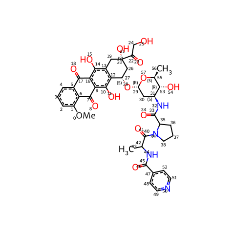 COc1cccc2c1C(=O)c1c(O)c3c(c(O)c1C2=O)C[C@@](O)(C(=O)CO)C[C@@H]3O[C@H]1C[C@H](NC(=O)C2CCCN2C(=O)C(C)NC(=O)c2ccncc2)[C@@H](O)[C@H](C)O1